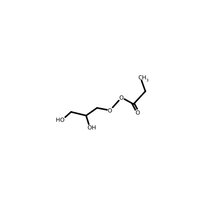 CCC(=O)OOCC(O)CO